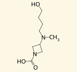 CN(CCCCO)C1CN(C(=O)O)C1